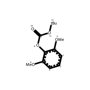 COc1cccc(OC)c1OC(=O)OC(C)(C)C